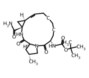 C[C@@H]1C[C@H]2C(=O)N[C@]3(C(N)=O)C[C@H]3/C=C\CCCCC[C@H](NC(=O)OC(C)(C)C)C(=O)N2C1